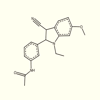 CCN1c2cc(OC)ccc2C(C#N)C1c1cccc(NC(C)=O)c1